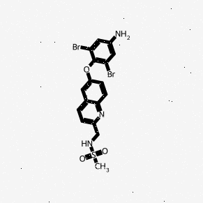 CS(=O)(=O)NCc1ccc2cc(Oc3c(Br)cc(N)cc3Br)ccc2n1